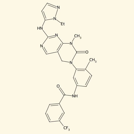 CCn1nccc1Nc1ncc2c(n1)N(C)C(=O)N(c1cc(NC(=O)c3cccc(C(F)(F)F)c3)ccc1C)C2